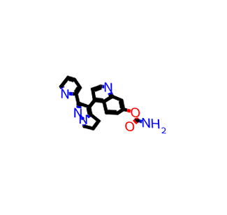 NC(=O)Oc1ccc2c(-c3c(-c4ccccn4)nn4c3CCC4)ccnc2c1